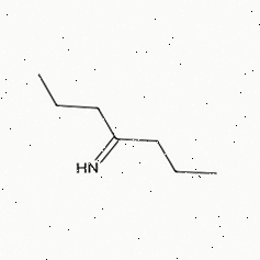 CCCC(=N)CCC